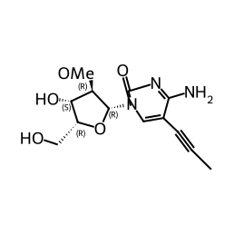 CC#Cc1cn([C@@H]2O[C@H](CO)[C@H](O)[C@H]2OC)c(=O)nc1N